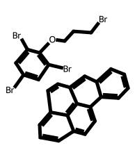 BrCCCOc1c(Br)cc(Br)cc1Br.c1ccc2c(c1)cc1ccc3cccc4ccc2c1c34